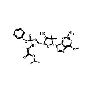 COc1nc(N)nc2c1ncn2[C@@H]1O[C@H](COP(=O)(N[C@@H](C)C(=O)OC(C)C)Oc2ccccc2)[C@@H](O)C1(C)C